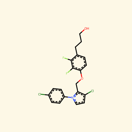 OCCCc1ccc(OCc2c(Cl)ccn2-c2ccc(Cl)cc2)c(F)c1F